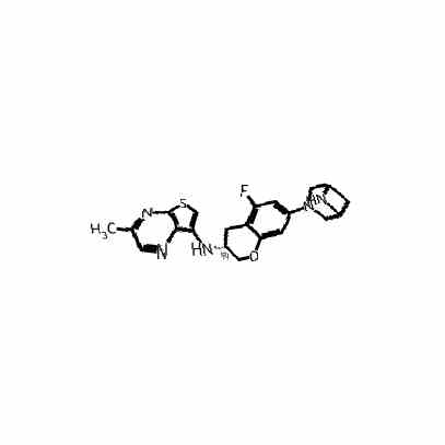 Cc1cnc2c(N[C@H]3COc4cc(N5CC6CC(C5)N6)cc(F)c4C3)csc2n1